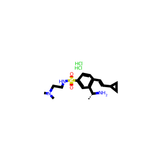 C[C@@H](N)c1cc(S(=O)(=O)NCCN(C)C)ccc1/C=C/C1CC1.Cl.Cl